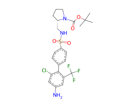 CC(C)(C)OC(=O)N1CCC[C@H]1CNS(=O)(=O)c1ccc(-c2c(Cl)cc(N)cc2C(F)(F)F)cc1